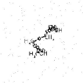 CCOC(Cc1ccc(OCC=C(C)C#Cc2ccc(C#CC(C)=CCSc3ccc(OCC(=O)O)c(C)c3)cc2)cc1)C(=O)O